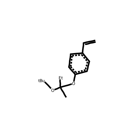 C=Cc1ccc(OC(C)(CC)OC(C)(C)C)cc1